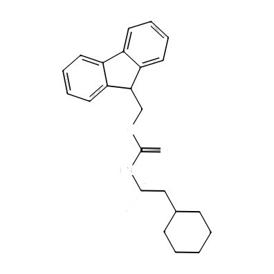 O=C(N[C@H](CC1CCCCC1)C(=O)O)OCC1c2ccccc2-c2ccccc21